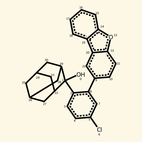 OC1(c2ccc(Cl)cc2-c2ccc3oc4ccccc4c3c2)C2CC3CC(C2)CC1C3